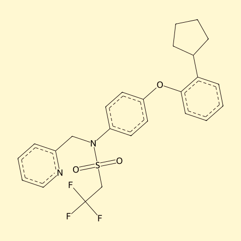 O=S(=O)(CC(F)(F)F)N(Cc1ccccn1)c1ccc(Oc2ccccc2C2CCCC2)cc1